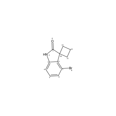 O=C1Nc2cccc(Br)c2C12CCC2